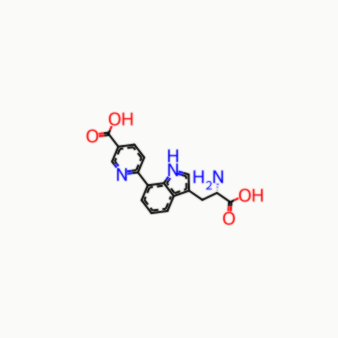 N[C@@H](Cc1c[nH]c2c(-c3ccc(C(=O)O)cn3)cccc12)C(=O)O